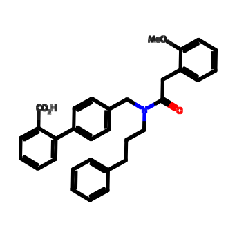 COc1ccccc1CC(=O)N(CCCc1ccccc1)Cc1ccc(-c2ccccc2C(=O)O)cc1